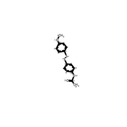 COc1ccc(SSc2ccc(OC(C)=O)cc2)cc1